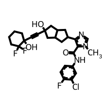 Cn1cnc(C2CC3CC(O)(C#CC4(O)CCCCC4(F)F)CC3C2)c1C(=O)Nc1ccc(F)c(Cl)c1